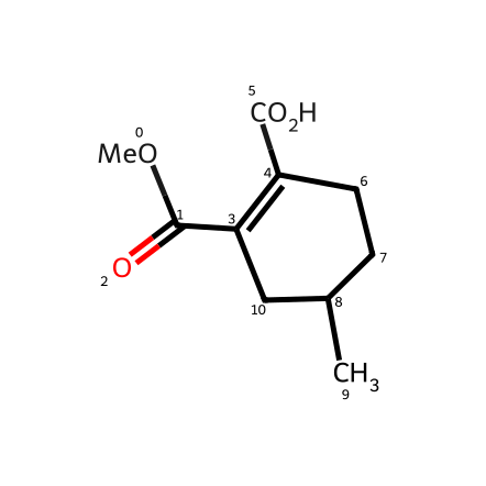 COC(=O)C1=C(C(=O)O)CCC(C)C1